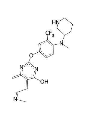 C=c1nc(Oc2ccc(N(C)C3CCCNC3)c(C(F)(F)F)c2)nc(O)/c1=C/C=N\C